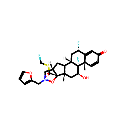 C[C@]12C=CC(=O)C=C1[C@@H](F)C[C@H]1C3C[C@H]4CN(Cc5ccco5)O[C@@]4(C(=O)SCF)[C@@]3(C)C[C@H](O)[C@@]12F